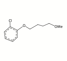 COCCCCOc1ccccc1Cl